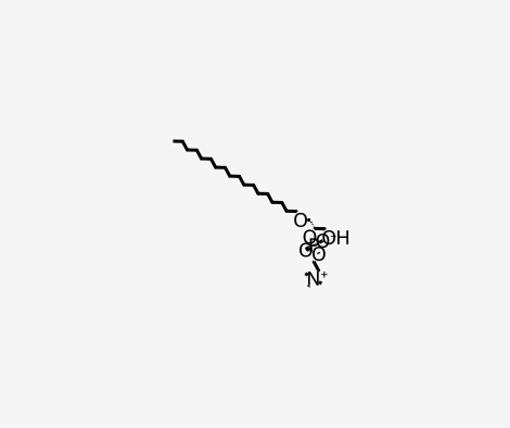 CCCCCCCCCCCCCCCCCCOC[C@H](CO)OP(=O)([O-])OCC[N+](C)(C)C